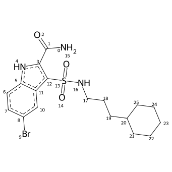 NC(=O)c1[nH]c2ccc(Br)cc2c1S(=O)(=O)NCCCC1CCCCC1